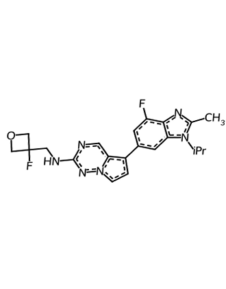 Cc1nc2c(F)cc(-c3ccn4nc(NCC5(F)COC5)ncc34)cc2n1C(C)C